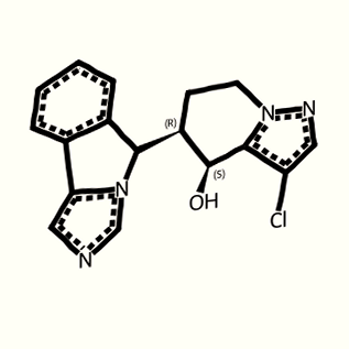 O[C@@H]1c2c(Cl)cnn2CC[C@@H]1C1c2ccccc2-c2cncn21